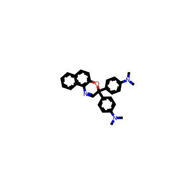 CN(C)c1ccc(C2(c3ccc(N(C)C)cc3)C=Nc3c(ccc4ccccc34)O2)cc1